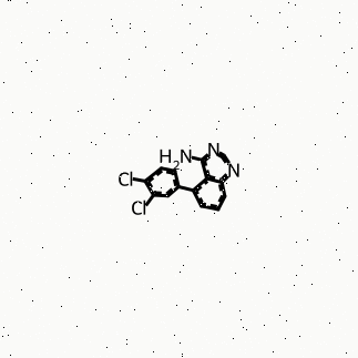 Nc1ncnc2cccc(-c3ccc(Cl)c(Cl)c3)c12